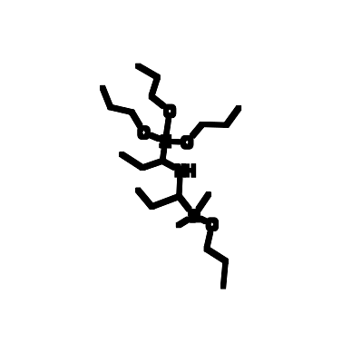 CCCO[Si](C)(C)C(CC)NC(CC)[Si](OCCC)(OCCC)OCCC